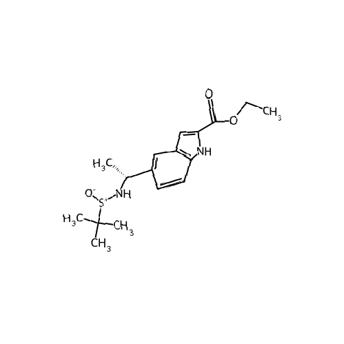 CCOC(=O)c1cc2cc([C@@H](C)N[S+]([O-])C(C)(C)C)ccc2[nH]1